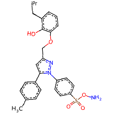 Cc1ccc(-c2cc(COc3cccc(CC(C)C)c3O)nn2-c2ccc(S(=O)(=O)ON)cc2)cc1